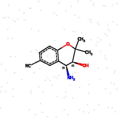 CC1(C)Oc2ccc(C#N)cc2[C@H](N)[C@@H]1O